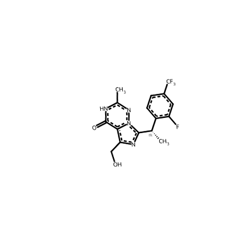 Cc1nn2c([C@@H](C)c3ccc(C(F)(F)F)cc3F)nc(CO)c2c(=O)[nH]1